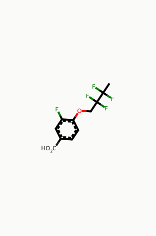 CC(F)(F)C(F)(F)COc1ccc(C(=O)O)cc1F